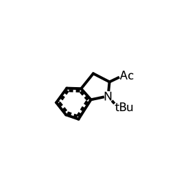 CC(=O)C1Cc2ccccc2N1C(C)(C)C